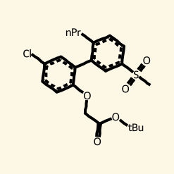 CCCc1ccc(S(C)(=O)=O)cc1-c1cc(Cl)ccc1OCC(=O)OC(C)(C)C